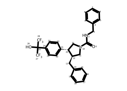 O=C(NCc1ccccc1)N1C[C@@H](Cc2ccccc2)[C@H](c2ccc(C(O)(C(F)(F)F)C(F)(F)F)cc2)C1